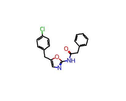 O=C(Cc1ccccc1)Nc1ncc(Cc2ccc(Cl)cc2)o1